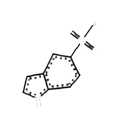 CC(C)S(=O)(=O)c1ccc2[nH]ccc2c1